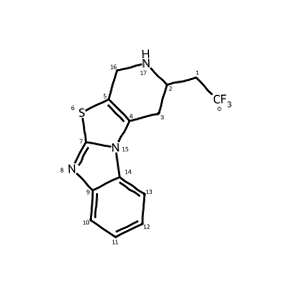 FC(F)(F)CC1Cc2c(sc3nc4ccccc4n23)CN1